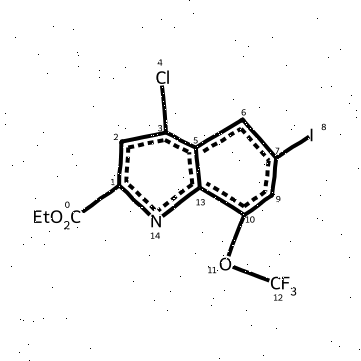 CCOC(=O)c1cc(Cl)c2cc(I)cc(OC(F)(F)F)c2n1